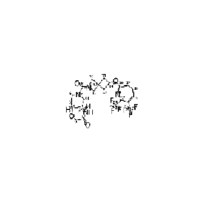 O=C1CO[C@H]2CCN(C(=O)N3CC4(CC(OC5=CCC=C(C(F)(F)F)C(C(F)(F)F)=N5)C4)C3)C[C@H]2N1